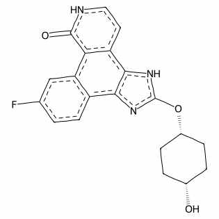 O=c1[nH]ccc2c3[nH]c(O[C@H]4CC[C@@H](O)CC4)nc3c3ccc(F)cc3c12